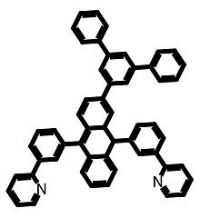 C1=CC2=C(c3cccc(-c4ccccn4)c3)c3ccccc3C(c3cccc(-c4ccccn4)c3)C2C=C1c1cc(-c2ccccc2)cc(-c2ccccc2)c1